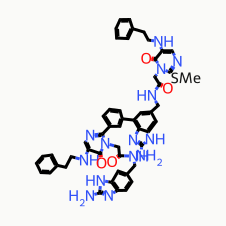 CSc1ncc(NCCc2ccccc2)c(=O)n1CC(=O)NCc1cc(-c2cccc(-c3ncc(NCCc4ccccc4)c(=O)n3CC(=O)NCc3ccc4nc(N)[nH]c4c3)c2)c2nc(N)[nH]c2c1